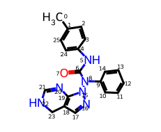 Cc1ccc(NC(=O)N(c2ccccc2)n2ncc3c2N=CNC3)cc1